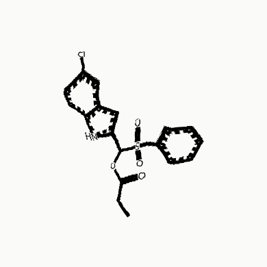 CCC(=O)OC(c1cc2cc(Cl)ccc2[nH]1)S(=O)(=O)c1ccccc1